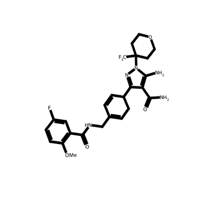 COc1ccc(F)cc1C(=O)NCC1=CCC(c2nn(C3(C(F)(F)F)CCOCC3)c(N)c2C(N)=O)C=C1